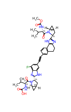 COC(=O)N[C@H](C(=O)N1[C@@H]2C[C@H]2C[C@H]1c1nc2c([nH]1)-c1ccc(C#Cc3cc(F)c4nc([C@@H]5C[C@H]6C[C@H]6N5C(=O)[C@@H](NC(=O)O)C(C)C)[nH]c4c3)cc1CC2)C(C)C